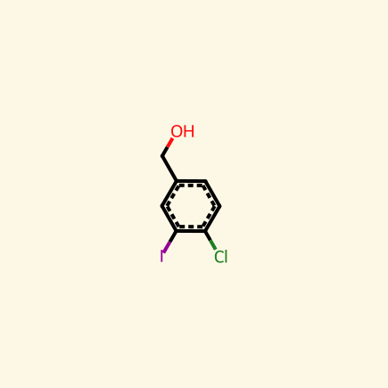 OCc1ccc(Cl)c(I)c1